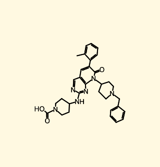 Cc1ccccc1-c1cc2cnc(NC3CCN(C(=O)O)CC3)nc2n(C2CCN(Cc3ccccc3)CC2)c1=O